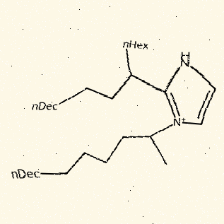 CCCCCCCCCCCCCCC(C)[n+]1cc[nH]c1C(CCCCCC)CCCCCCCCCCCC